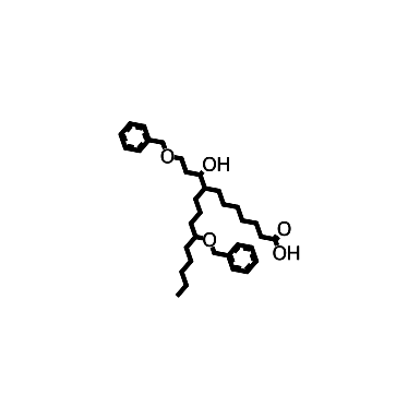 CCCCCC(CCCC(CCCCCCC(=O)O)C(O)CCOCc1ccccc1)OCc1ccccc1